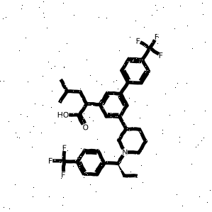 CC[C@@H](c1ccc(C(F)(F)F)cc1)N1CCCC(c2cc(-c3ccc(C(F)(F)F)cc3)cc(C(CC(C)C)C(=O)O)c2)C1